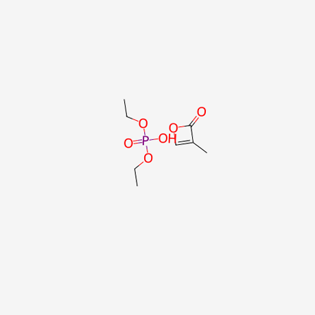 CC1=COC1=O.CCOP(=O)(O)OCC